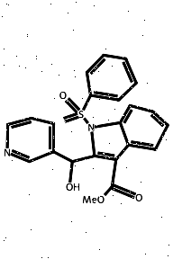 C=S(=O)(c1ccccc1)n1c(C(O)c2cccnc2)c(C(=O)OC)c2ccccc21